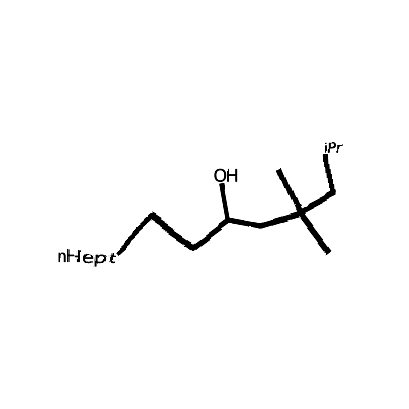 CCCCCCCCCC(O)CC(C)(C)CC(C)C